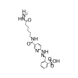 NNC(=O)CCCCCNC(=O)c1ccc(NN=Cc2ccccc2S(=O)(=O)O)nc1